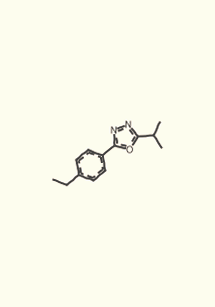 CCc1ccc(-c2nnc(C(C)C)o2)cc1